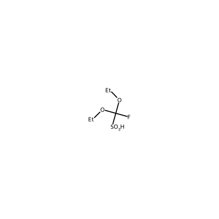 CCOC(F)(OCC)S(=O)(=O)O